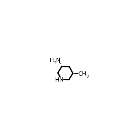 C[C@H]1CNC[C@H](N)C1